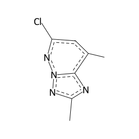 Cc1nc2c(C)cc(Cl)nn2n1